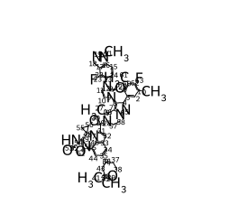 Cc1cc(-c2nn3c(c2-n2ccn(-c4ccc5c(cnn5C)c4F)c2=O)[C@H](C)N(C(=O)c2cc4cc([C@@H]5CCOC(C)(C)C5)ccc4n2C2(c4noc(=O)[nH]4)CC2)CC3)cc(C)c1F